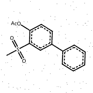 CC(=O)Oc1ccc(-c2ccccc2)cc1S(C)(=O)=O